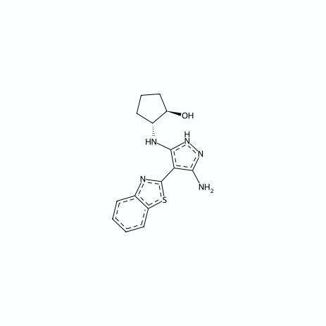 Nc1n[nH]c(N[C@@H]2CCC[C@H]2O)c1-c1nc2ccccc2s1